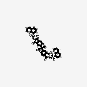 O=C1c2ccc(C(c3ccc4c(c3)C(=O)N(OS(=O)(=O)c3cccc5cccnc35)C4=O)(C(F)(F)F)C(F)(F)F)cc2C(=O)N1OS(=O)(=O)c1cccc2cccnc12